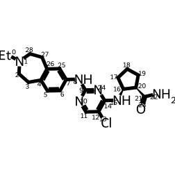 CCN1CCc2ccc(Nc3ncc(Cl)c(N[C@H]4CCC[C@H]4C(N)=O)n3)cc2CC1